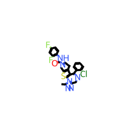 Cc1nnc2n1-c1sc3c(c1C(c1ccccc1Cl)=NC2)CCN(C(=O)Nc1ccc(F)cc1F)C3